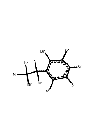 Brc1c(Br)c(Br)c(C(Br)(Br)C(Br)(Br)Br)c(Br)c1Br